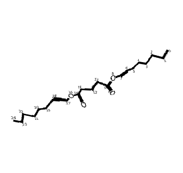 CCCCCCC=COC(=O)CCCC(=O)OC=CCCCCCC